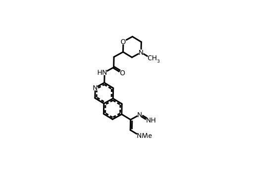 CN/C=C(\N=N)c1ccc2cnc(NC(=O)CC3CN(C)CCO3)cc2c1